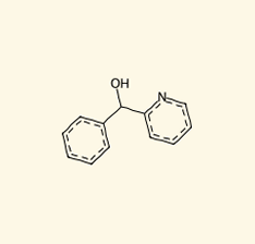 OC(c1ccccc1)c1ccccn1